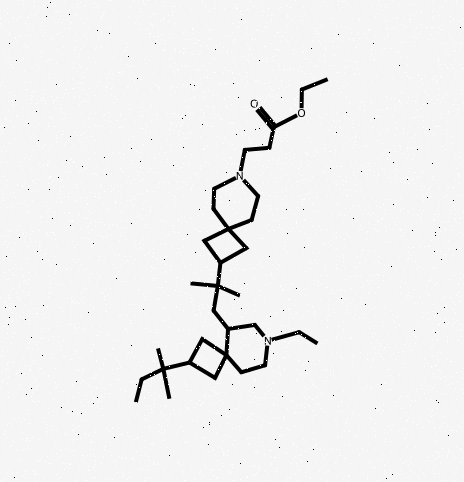 CCOC(=O)CCN1CCC2(CC1)CC(C(C)(C)CC1CN(CC)CCC13CC(C(C)(C)CC)C3)C2